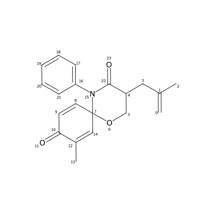 C=C(C)CC1COC2(C=CC(=O)C(C)=C2)N(c2ccccc2)C1=O